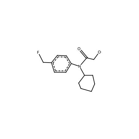 [O]CC(=O)N(c1ccc(CF)cc1)C1CCCCC1